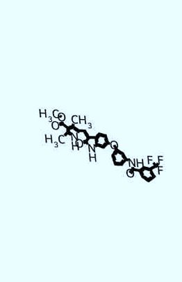 COC(=O)c1c(C)[nH]c(C=C2C(=O)Nc3cc(Oc4cccc(NC(=O)c5cccc(C(F)(F)F)c5)c4)ccc32)c1C